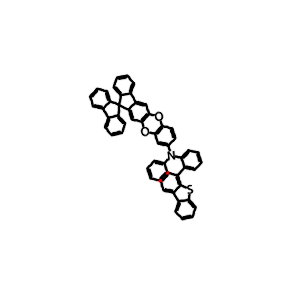 c1ccc(N(c2ccc3c(c2)Oc2cc4c(cc2O3)-c2ccccc2C42c3ccccc3-c3ccccc32)c2ccccc2-c2cccc3c2sc2ccccc23)cc1